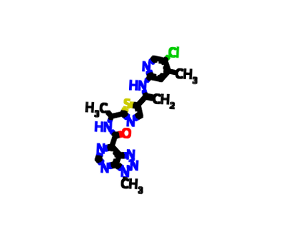 C=C(Nc1cc(C)c(Cl)cn1)c1cnc(C(C)NC(=O)c2ncnc3c2nnn3C)s1